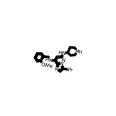 COc1ccccc1CNc1cc(NC2CCNCC2)nn2c(C(C)C)cnc12